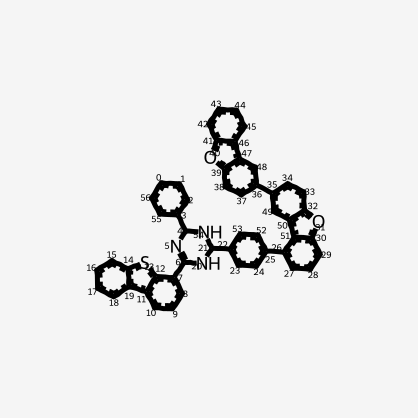 c1ccc(C2N=C(c3cccc4c3sc3ccccc34)NC(c3ccc(-c4cccc5oc6ccc(-c7ccc8oc9ccccc9c8c7)cc6c45)cc3)N2)cc1